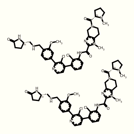 COc1cc(-c2nccc(-c3cccc(NC(=O)c4nc5c(n4C)CCN(C(=O)[C@@H]4CCCN4C)C5)c3Cl)c2Cl)ccc1CNC[C@@H]1CCC(=O)N1.COc1cc(-c2nccc(-c3cccc(NC(=O)c4nc5c(n4C)CCN(C(=O)[C@@H]4CCCN4C)C5)c3Cl)c2Cl)ccc1CNC[C@@H]1CCC(=O)N1